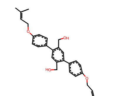 CC(C)=CCOc1ccc(-c2cc(CO)c(-c3ccc(OCC=C(C)C)cc3)cc2CO)cc1